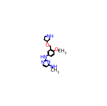 CNc1ccnc(Nc2ccc(OC)c(COC3CCNC3)c2)n1